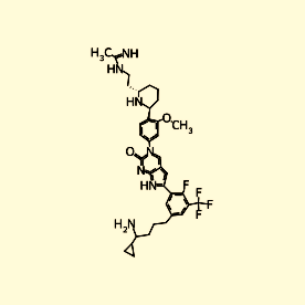 COc1cc(-n2cc3cc(-c4cc(CCCC(N)C5CC5)cc(C(F)(F)F)c4F)[nH]c3nc2=O)ccc1[C@@H]1CCC[C@@H](CCNC(C)=N)N1